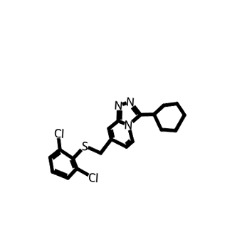 Clc1cccc(Cl)c1SCc1ccn2c(C3CCCCC3)nnc2c1